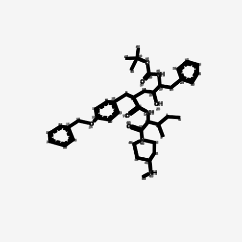 CCC(C)C(NC(=O)C(Cc1ccc(OCc2ccccc2)cc1)CC(O)C(Cc1ccccc1)NC(=O)OC(C)(C)C)C(=O)N1CCC(NC)CC1